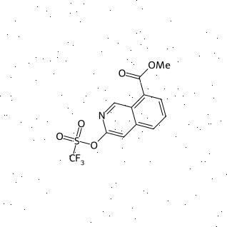 COC(=O)c1cccc2cc(OS(=O)(=O)C(F)(F)F)ncc12